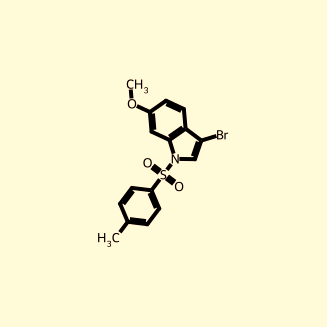 COc1ccc2c(Br)cn(S(=O)(=O)c3ccc(C)cc3)c2c1